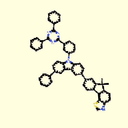 CC1(C)c2cc(-c3ccc4c(c3)c3cc(-c5ccccc5)ccc3n4-c3cccc(-c4nc(-c5ccccc5)nc(-c5ccccc5)n4)c3)ccc2-c2c1ccc1ncsc21